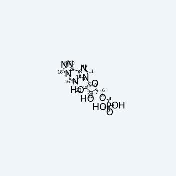 O=P(O)(O)COC[C@H]1O[C@@H](n2cnc3c2ncn2cnnc32)[C@H](O)[C@@H]1O